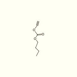 C#COC(=O)OCCCC